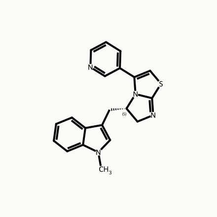 Cn1cc(C[C@H]2CN=C3SC=C(c4cccnc4)N32)c2ccccc21